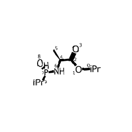 CC(C)OC(=O)[C@H](C)N[PH](=O)C(C)C